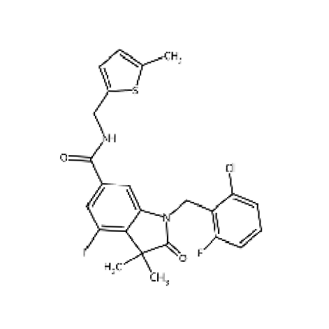 Cc1ccc(CNC(=O)c2cc(I)c3c(c2)N(Cc2c(F)cccc2Cl)C(=O)C3(C)C)s1